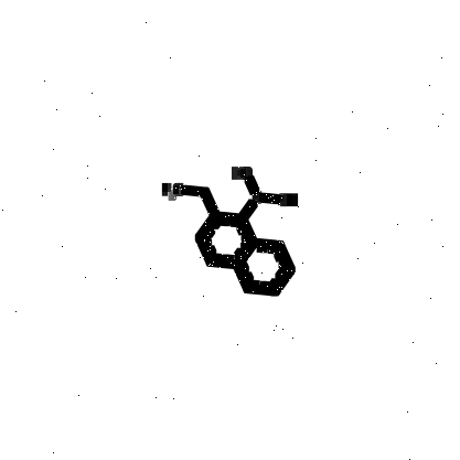 OB(O)c1c(CC(F)(F)F)ccc2ccccc12